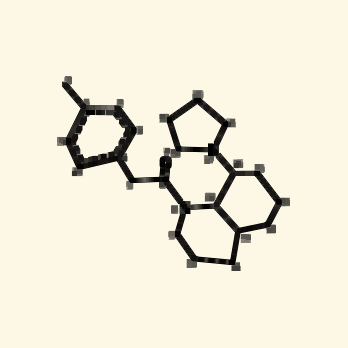 Cc1ccc(CC(=O)N2CCCC3CCCC(N4CCCC4)C32)cc1